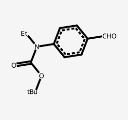 CCN(C(=O)OC(C)(C)C)c1ccc(C=O)cc1